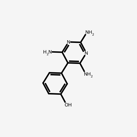 Nc1nc(N)c(-c2cccc(O)c2)c(N)n1